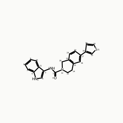 O=C(Nc1c[nH]c2ccccc12)N1CCc2cc(-c3ccsc3)ccc2C1